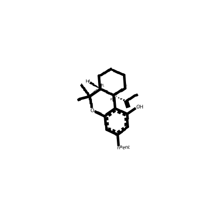 C=C(C)[C@@]12CCCC[C@H]1C(C)(C)Oc1cc(CCCCC)cc(O)c12